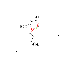 C=C(CC(C)OCCCC)OF